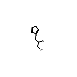 C1=CCC=C1.OCC(O)CO